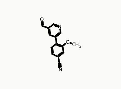 COc1cc(C#N)ccc1-c1cncc(C=O)c1